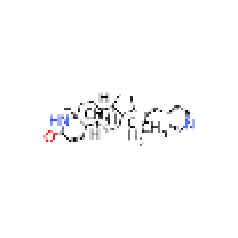 C/C(=C\c1ccncc1)[C@H]1CC[C@H]2[C@@H]3CC[C@H]4NC(=O)C=C[C@]4(C)[C@H]3CC[C@]12C